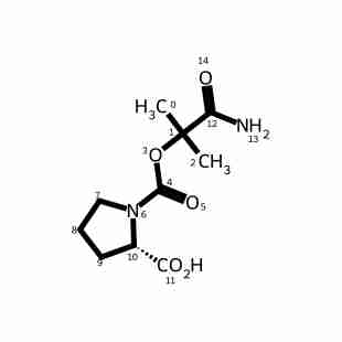 CC(C)(OC(=O)N1CCC[C@H]1C(=O)O)C(N)=O